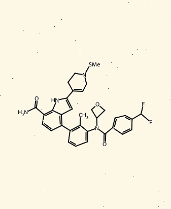 CSN1CC=C(c2cc3c(-c4cccc(N(C(=O)c5ccc(C(F)F)cc5)C5COC5)c4C)ccc(C(N)=O)c3[nH]2)CC1